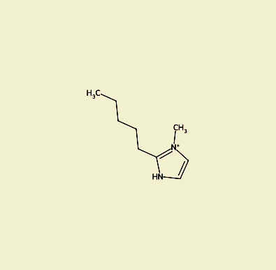 CCCCCc1[nH]cc[n+]1C